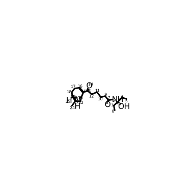 CCC(O)(CC)NC(=O)CCCCC(=O)C1=CCC[C@H]2NC1CC2C